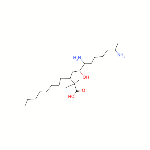 CCCCCCCCC(CC(O)C(N)CCCCC(C)N)C(C)(C)C(=O)O